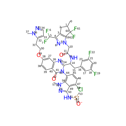 CC1Cc2c(C(F)F)nn(CC(=O)NC(Cc3cc(F)cc(F)c3)c3nc4cc(OCCc5ccnn5C)ccc4c(=O)n3-c3ccc(Cl)c4c(N[S+](C)[O-])nn(C)c34)c2C1(F)F